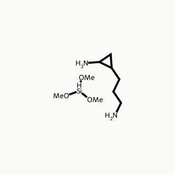 CO[SiH](OC)OC.NCCCC1CC1N